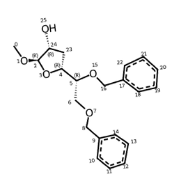 CO[C@@H]1O[C@@H]([C@@H](COCc2ccccc2)OCc2ccccc2)C[C@H]1O